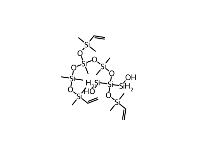 C=C[Si](C)(C)O[Si](C)(C)O[Si](C)(O[Si](C)(C)C=C)O[Si](C)(C)O[Si](O[Si](C)(C)C=C)([SiH2]O)[SiH2]O